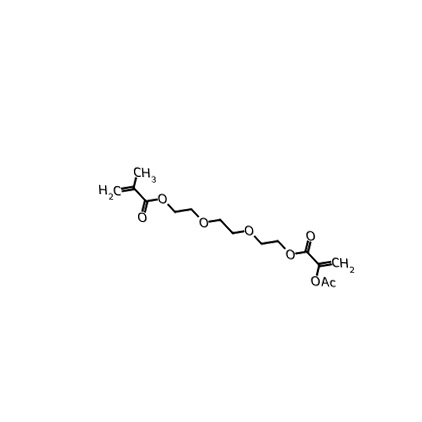 C=C(C)C(=O)OCCOCCOCCOC(=O)C(=C)OC(C)=O